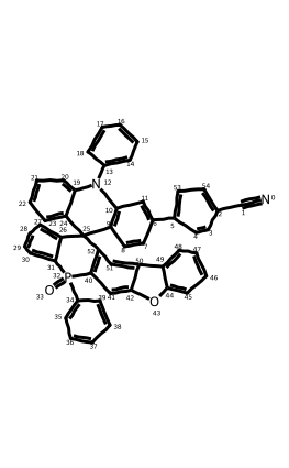 N#Cc1ccc(-c2ccc3c(c2)N(c2ccccc2)c2ccccc2C32c3ccccc3P(=O)(c3ccccc3)c3cc4oc5ccccc5c4cc32)cc1